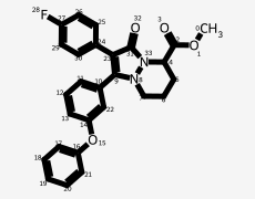 COC(=O)C1CCCn2c(-c3cccc(Oc4ccccc4)c3)c(-c3ccc(F)cc3)c(=O)n21